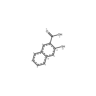 O=C(O)c1cc2ccccc2cc1S